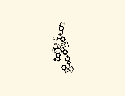 CC(C)c1ccccc1[C@@H]1COCCN1C1CC2(CCN(c3ccc(C(=O)NS(=O)(=O)c4ccc(NCC5CCC(C)(O)CC5)c([N+](=O)[O-])c4)c(N4C[C@@H]5OCCOC[C@H]5Oc5nc6[nH]ccc6cc54)c3)CC2)C1